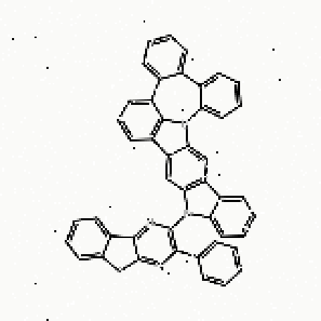 c1ccc(-c2nc3sc4ccccc4c3nc2-n2c3ccccc3c3cc4c(cc32)c2cccc3c2n4-c2ccccc2-c2ccccc2-3)cc1